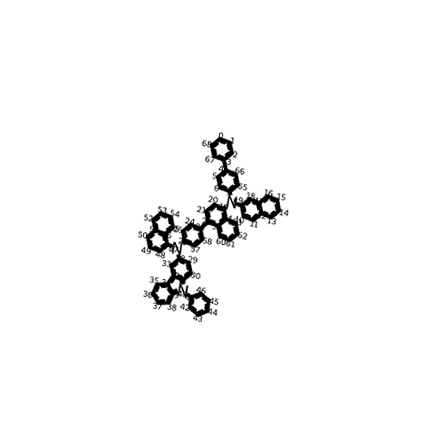 c1ccc(-c2ccc(N(c3ccc4ccccc4c3)c3ccc(-c4ccc(N(c5ccc6c(c5)c5ccccc5n6-c5ccccc5)c5cccc6ccccc56)cc4)c4ccccc34)cc2)cc1